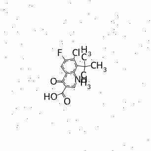 CC(C)(C)c1c(Cl)c(F)cc2c(=O)c(C(=O)O)c[nH]c12